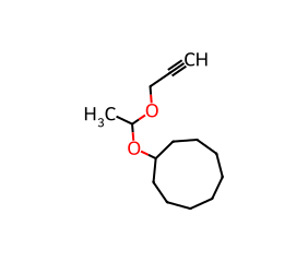 C#CCOC(C)OC1CCCCCCCC1